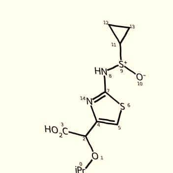 CC(C)OC(C(=O)O)c1csc(N[S+]([O-])C2CC2)n1